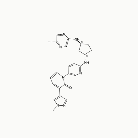 Cc1cnc(N[C@H]2CC[C@H](Nc3ccc(-n4cccc(-c5cnn(C)c5)c4=O)cn3)C2)cn1